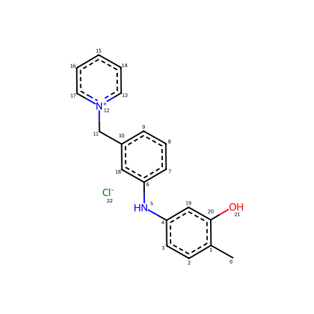 Cc1ccc(Nc2cccc(C[n+]3ccccc3)c2)cc1O.[Cl-]